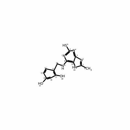 Cc1nc2nc(S)nc(NCc3ccc(O)cc3O)c2[nH]1